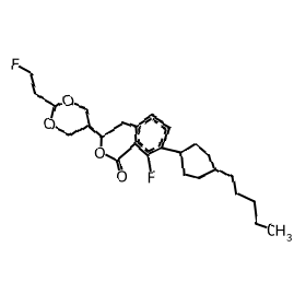 CCCCCC1CCC(c2ccc3c(c2F)C(=O)OC(C2COC(CCF)OC2)C3)CC1